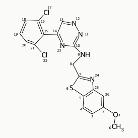 COc1ccc2sc(CNc3nncc(-c4c(Cl)cccc4Cl)n3)nc2c1